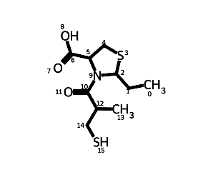 CCC1SCC(C(=O)O)N1C(=O)C(C)CS